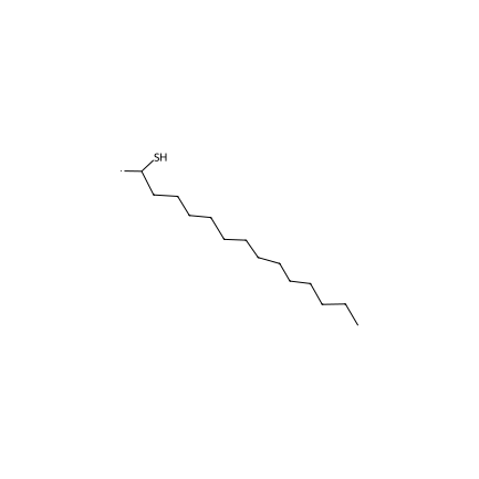 [CH2]C(S)CCCCCCCCCCCCC